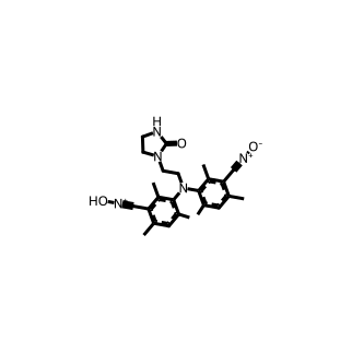 Cc1cc(C)c(N(CCN2CCNC2=O)c2c(C)cc(C)c(C#[N+]O)c2C)c(C)c1C#[N+][O-]